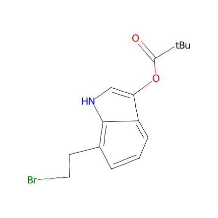 CC(C)(C)C(=O)Oc1c[nH]c2c(CCBr)cccc12